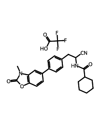 Cn1c(=O)oc2ccc(-c3ccc(CC(C#N)NC(=O)C4CCCCC4)cc3)cc21.O=C(O)C(F)(F)F